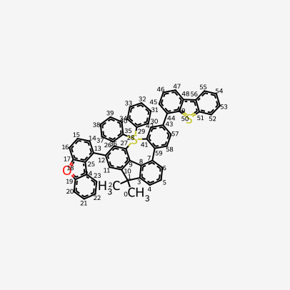 CC1(C)c2cccc3c2-c2c1cc(-c1cccc4oc5ccccc5c14)cc2S(c1ccccc1)(c1ccccc1)c1cc(-c2cccc4c2sc2ccccc24)ccc1-3